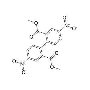 COC(=O)c1cc([N+](=O)[O-])ccc1-c1ccc([N+](=O)[O-])cc1C(=O)OC